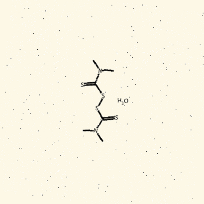 CN(C)C(=S)SSC(=S)N(C)C.O